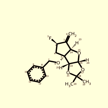 C=C1[C@H](F)C[C@@]2(OCc3ccccc3)[C@@H]1O[C@@H]1OC(C)(C)O[C@@H]12